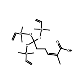 C=C[Si](C)(C)OC(CCC=C(C)C(=O)O)(O[Si](C)(C)C=C)O[Si](C)(C)C=C